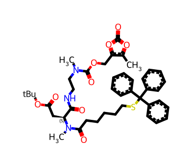 Cc1oc(=O)oc1COC(=O)N(C)CCNC(=O)[C@H](CC(=O)OC(C)(C)C)N(C)C(=O)CCCCCSC(c1ccccc1)(c1ccccc1)c1ccccc1